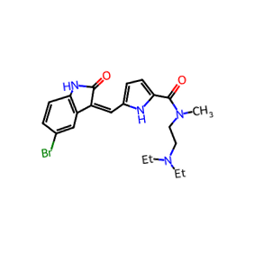 CCN(CC)CCN(C)C(=O)c1ccc(/C=C2\C(=O)Nc3ccc(Br)cc32)[nH]1